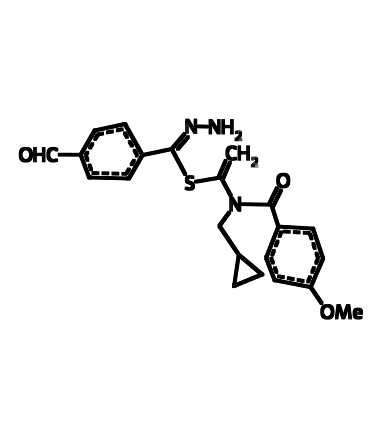 C=C(S/C(=N\N)c1ccc(C=O)cc1)N(CC1CC1)C(=O)c1ccc(OC)cc1